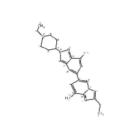 CCc1cn2nc(-c3cc(F)c4nn(C5CCN(CC)CC5)cc4c3)cc(C)c2n1